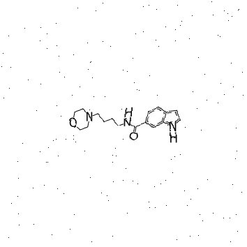 O=C(NCCCCN1CCOCC1)c1ccc2cc[nH]c2c1